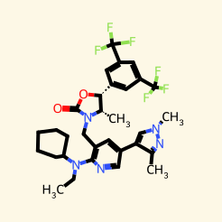 CCN(c1ncc(-c2cn(C)nc2C)cc1CN1C(=O)O[C@H](c2cc(C(F)(F)F)cc(C(F)(F)F)c2)[C@@H]1C)C1CCCCC1